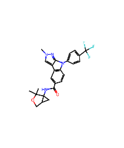 Cn1cc2c3cc(C(=O)NC45CC4COC5(C)C)ccc3n(-c3ccc(C(F)(F)F)cc3)c2n1